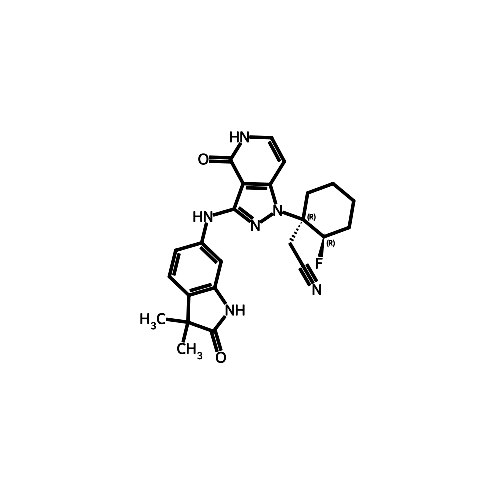 CC1(C)C(=O)Nc2cc(Nc3nn([C@@]4(CC#N)CCCC[C@H]4F)c4cc[nH]c(=O)c34)ccc21